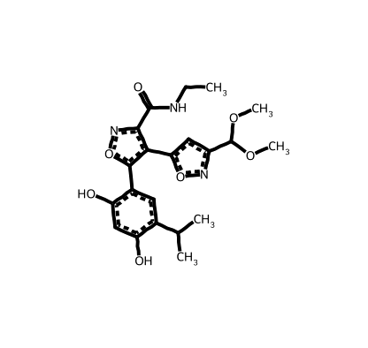 CCNC(=O)c1noc(-c2cc(C(C)C)c(O)cc2O)c1-c1cc(C(OC)OC)no1